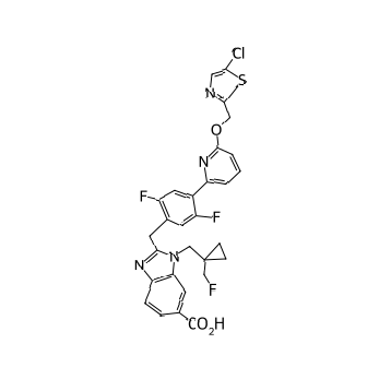 O=C(O)c1ccc2nc(Cc3cc(F)c(-c4cccc(OCc5ncc(Cl)s5)n4)cc3F)n(CC3(CF)CC3)c2c1